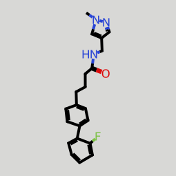 Cn1cc(CNC(=O)CCCc2ccc(-c3ccccc3F)cc2)cn1